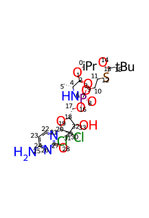 CC(C)OC(=O)[C@@H](C)N[P@@](=O)(OCCSC(=O)C(C)(C)C)OC[C@H]1O[C@@H](n2ccc(N)nc2=O)C(Cl)(Cl)[C@@H]1O